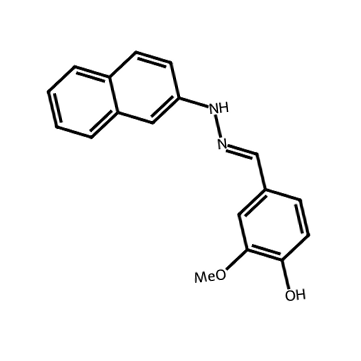 COc1cc(C=NNc2ccc3ccccc3c2)ccc1O